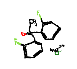 C[Si]([O-])(c1ccccc1F)c1ccccc1F.[Cl-].[Mg+2]